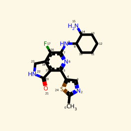 Cc1ncc(-c2nc(NC3CCCCC3N)c(F)c3c2C(=O)NC3)s1